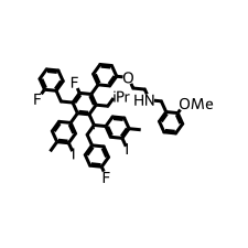 COc1ccccc1CNCCOc1cccc(-c2c(F)c(Cc3ccccc3F)c(-c3ccc(C)c(I)c3)c([C](Cc3ccc(F)cc3)c3ccc(C)c(I)c3)c2CC(C)C)c1